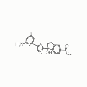 COC(=O)c1ccc2c(c1)CCC2(O)c1ncc(-c2cc(C)cc(N)n2)s1